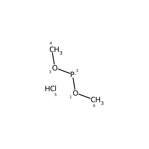 CO[P]OC.Cl